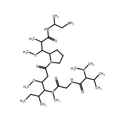 CCC(C)C(C(CC(=O)N1CCCC1C(OC)C(C)C(=O)NC(C)CN)OC)N(C)C(=O)CNC(=O)C(C(C)C)N(C)C